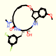 CN[C@H]1CCC=CCO[C@@H]2C[C@H](NC[C@@H](O)[C@H](Cc3cc(F)cc(F)c3)NC1=O)c1cc(OC)ccc12